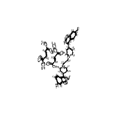 Fc1ccc2c(C3CCN(CCN4CCC(c5noc6cc(F)ccc56)CC4)CC3)noc2c1.O=C(O)C=CC(=O)O.O=C(O)C=CC(=O)O